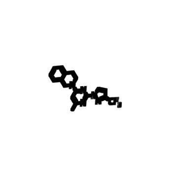 Cc1cc(N2CCc3ccccc3C2)nc(-n2ccc(C(F)(F)F)n2)n1